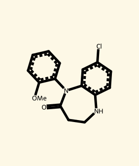 COc1ccccc1N1C(=O)CCNc2ccc(Cl)cc21